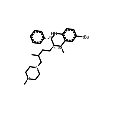 CC(CC[C@@H]1[C@H](C)c2cc(C(C)(C)C)ccc2N[C@H]1c1ccccc1)CN1CCN(C)CC1